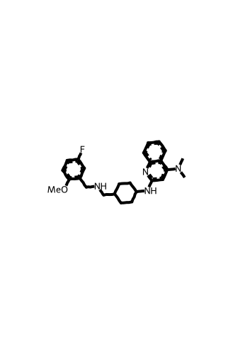 COc1ccc(F)cc1CNCC1CCC(Nc2cc(N(C)C)c3ccccc3n2)CC1